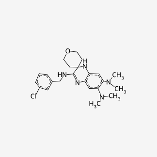 CN(C)c1cc2c(cc1N(C)C)NC1(CCOCC1)C(NCc1cccc(Cl)c1)=N2